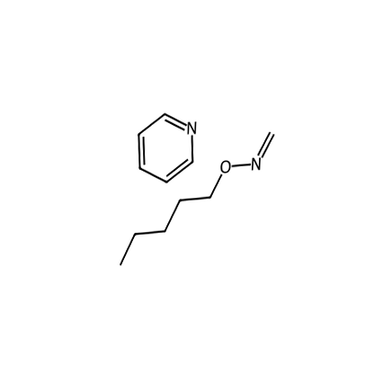 C=NOCCCCC.c1ccncc1